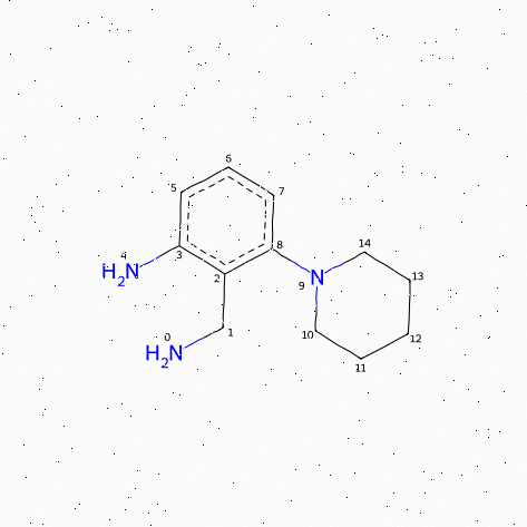 NCc1c(N)cccc1N1CCCCC1